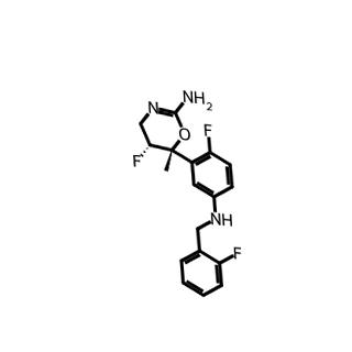 C[C@]1(c2cc(NCc3ccccc3F)ccc2F)OC(N)=NC[C@H]1F